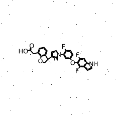 C[C@]1(c2ccn(-c3cc(Oc4c(F)cc5[nH]ccc5c4F)ccc3F)n2)COc2c(CC(=O)O)cccc21